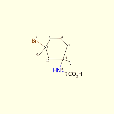 CC1(Br)CCCC(C)(NC(=O)O)C1